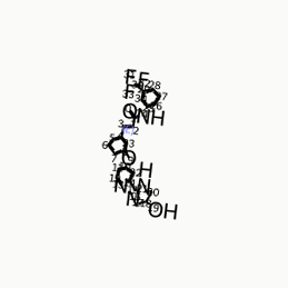 O=C(/C=C/c1cccc(Oc2ccnc(C3=NCC(O)CN3)c2)c1)Nc1cccc(C(F)(F)F)c1